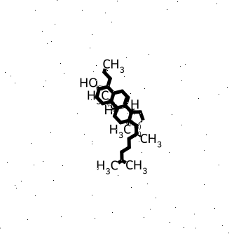 CCCC1C2CC=C3[C@@H]4CC[C@H]([C@H](C)CCCC(C)C)[C@@]4(C)CC[C@@H]3[C@@]2(C)CC[C@@H]1O